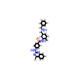 CC1=C(NC(=O)c2ccc(Nc3nc(C)c4ccccc4n3)cc2)CC(CNCc2ccccc2)C=C1